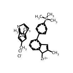 CC1=C2C3=NC=CC3=C1[Si]2(C)C.CC1=Cc2c(-c3ccc([Si](C)(C)C)cc3)cccc2[CH]1[Zr+2].[Cl-].[Cl-]